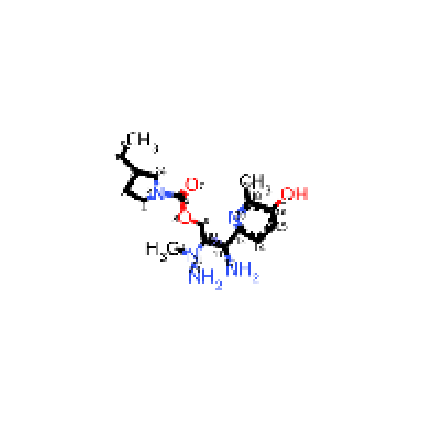 CCC1CCN(C(=O)OC/C(=C(/N)c2ccc(O)c(C)n2)N(C)N)C1